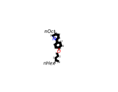 CCCCCCCCc1ccc(-c2ccc(OCCC[C@H](C)CCCCCC)cc2)nc1